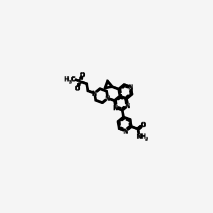 CS(=O)(=O)CCN1CCN(c2nc(-c3ccnc(C(N)=O)c3)nc3cncc(C4CC4)c23)CC1